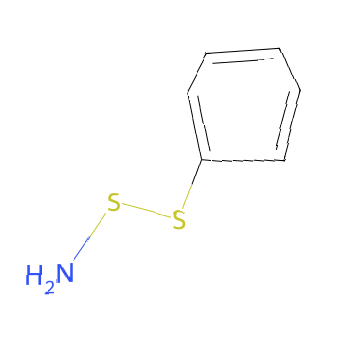 NSSc1ccccc1